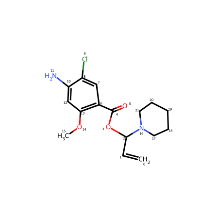 C=CC(OC(=O)c1cc(Cl)c(N)cc1OC)N1CCCCC1